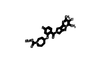 Cc1nc2c3c(nn2c(C)c1Cl)CN(C(=O)c1ccc(F)cc1O[C@H]1CCCN(C(=O)OC(C)(C)C)CC1)C3